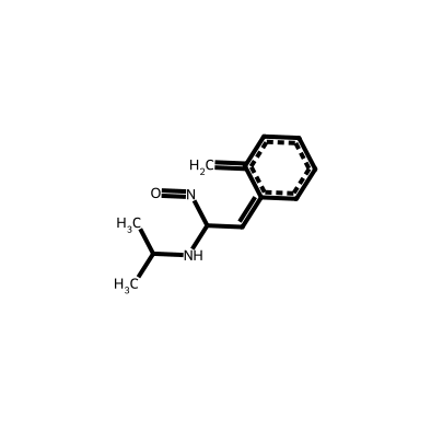 C=c1cccc/c1=C/C(N=O)NC(C)C